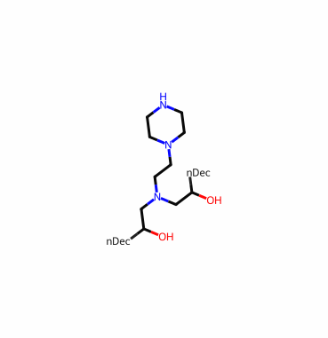 CCCCCCCCCCC(O)CN(CCN1CCNCC1)CC(O)CCCCCCCCCC